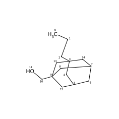 CCCC12CC3CC(CC(CO)(C3)C1)C2